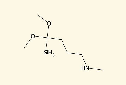 CNCCCC([SiH3])(OC)OC